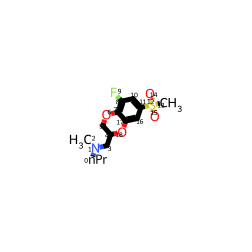 CCCN(C)CC1COc2c(F)cc(S(C)(=O)=O)cc2O1